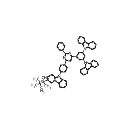 CC(C)(C)[Si](C)(C)c1ccc2c(c1)c1ccccc1n2-c1ccc(-c2cc(-c3cc(-n4c5ccccc5c5ccccc54)cc(-n4c5ccccc5c5ccccc54)c3)nc(-c3ccccc3)n2)cc1